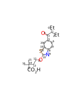 CCC(CC)C(=O)c1ccc2nc(OCCC(C)(C)C(=O)O)sc2c1